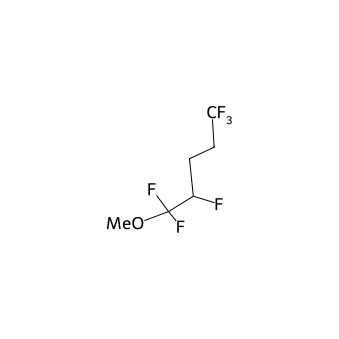 COC(F)(F)C(F)CCC(F)(F)F